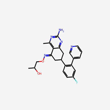 Cc1nc(N)nc2c1C(=NOCC(C)O)CC(c1ccc(F)cc1-c1cccnc1)C2